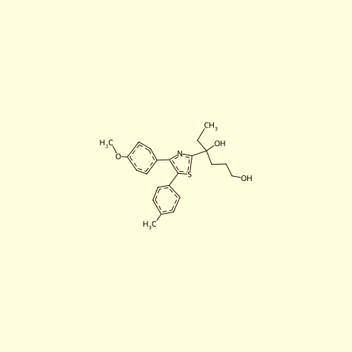 CCC(O)(CCCO)c1nc(-c2ccc(OC)cc2)c(-c2ccc(C)cc2)s1